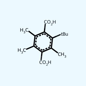 Cc1c(C)c(C(=O)O)c(C(C)(C)C)c(C)c1C(=O)O